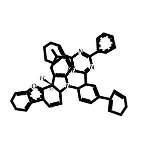 CC1C=CC2=C(C1)[C@H]1c3oc4c(c3C=CC1N2C1C=CC(C2=CCCC=C2)=CC1C1=NC(c2ccccc2)=NC(C2=CCCCC2)N1)=CCCC=4